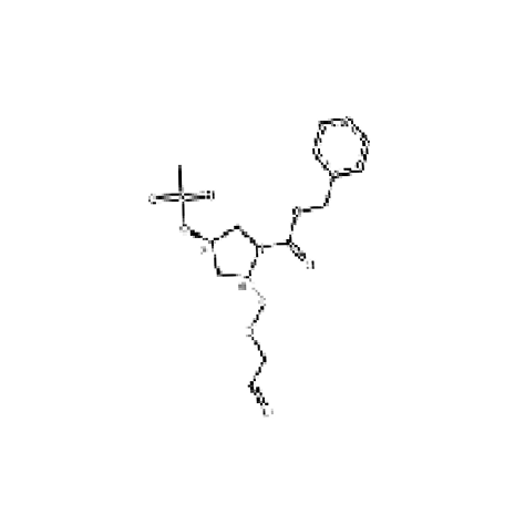 CS(=O)(=O)O[C@@H]1C[C@@H](COCC=O)N(C(=O)OCc2ccccc2)C1